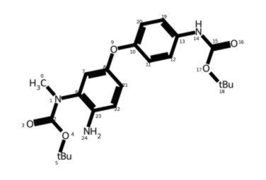 CN(C(=O)OC(C)(C)C)c1cc(Oc2ccc(NC(=O)OC(C)(C)C)cc2)ccc1N